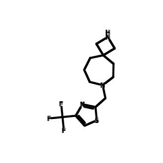 FC(F)(F)c1csc(CN2CCCC3(CC2)CNC3)n1